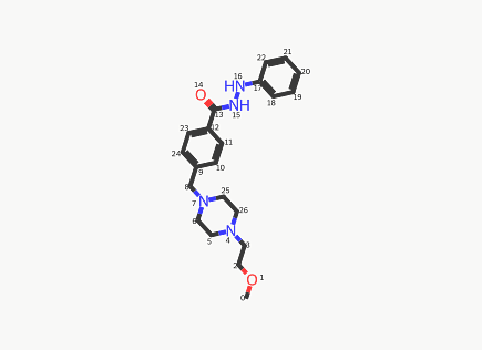 COCCN1CCN(Cc2ccc(C(=O)NNc3ccccc3)cc2)CC1